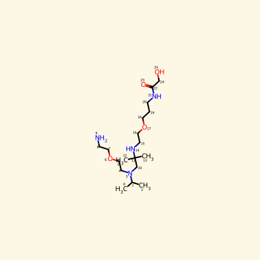 CC(C)N(CCOCCN)CC(C)(C)NCCOCCCNC(=O)CO